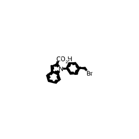 O=C(O)c1cc2ccccc2n1-c1ccc(CBr)cc1